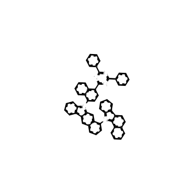 c1ccc(-c2nc(-c3ccccc3)nc(-c3ccc(-n4c5ccccc5c5cc6cccc(-n7c8ccccc8c8ccc9ccccc9c87)c6cc54)c4ccccc34)n2)cc1